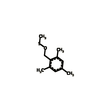 CSOCc1c(C)cc(C)cc1C